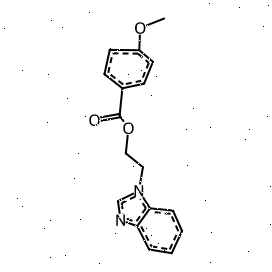 COc1ccc(C(=O)OCCn2cnc3ccccc32)cc1